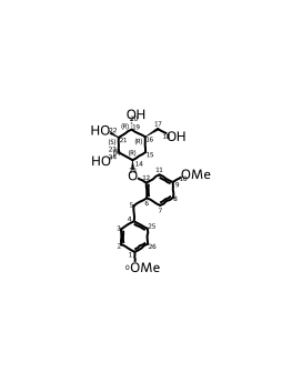 COc1ccc(Cc2ccc(OC)cc2O[C@@H]2C[C@H](CO)[C@@H](O)[C@H](O)[C@H]2O)cc1